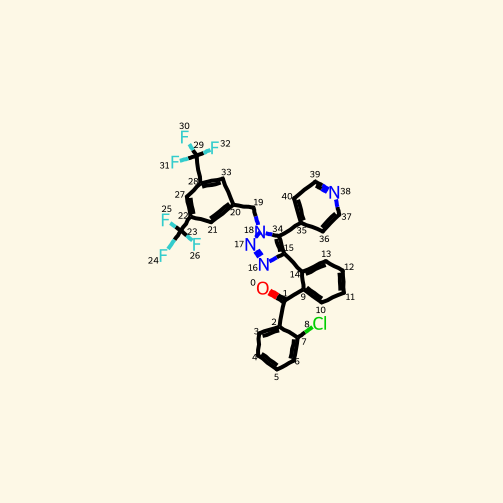 O=C(c1ccccc1Cl)c1ccccc1-c1nnn(Cc2cc(C(F)(F)F)cc(C(F)(F)F)c2)c1-c1ccncc1